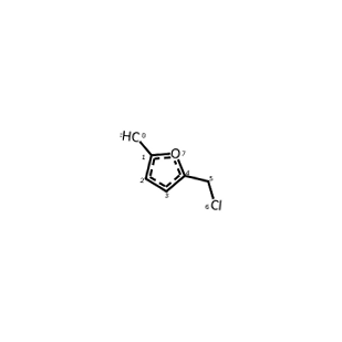 [CH]c1ccc(CCl)o1